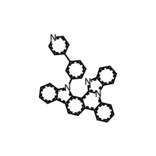 c1cc(-c2ccncc2)cc(-n2c3ccccc3c3ccc4c5ccccc5n5c6ccccc6nc5c4c32)c1